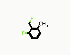 Cc1cccc(F)c1CF